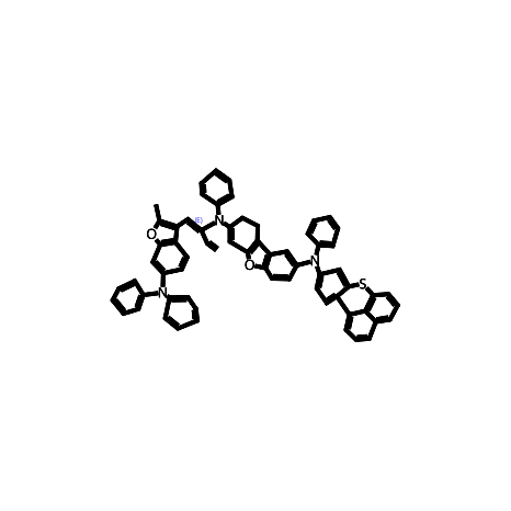 C=C/C(=C\c1c(C)oc2cc(N(c3ccccc3)c3ccccc3)ccc12)N(C1=Cc2oc3ccc(N(c4ccccc4)c4ccc5c(c4)Sc4cccc6cccc-5c46)cc3c2CC1)c1ccccc1